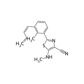 C=C/C=C\c1cccc(-c2nc(C#N)c(NC)s2)c1C